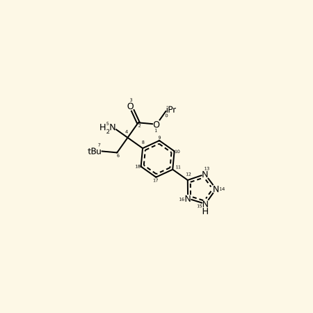 CC(C)OC(=O)C(N)(CC(C)(C)C)c1ccc(-c2nn[nH]n2)cc1